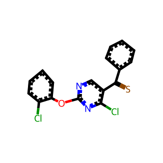 S=C(c1ccccc1)c1cnc(Oc2ccccc2Cl)nc1Cl